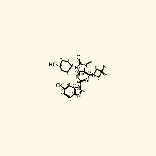 Cn1c(=O)n([C@H]2CC[C@H](O)CC2)c2nc(-n3cnc4ccc(Cl)cc43)nc(N3CC(F)(F)C3)c21